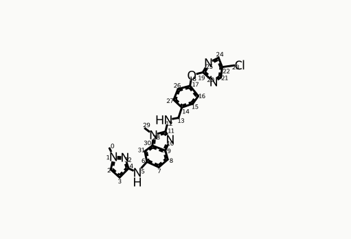 Cn1ccc(Nc2ccc3nc(NCc4ccc(Oc5ncc(Cl)cn5)cc4)n(C)c3c2)n1